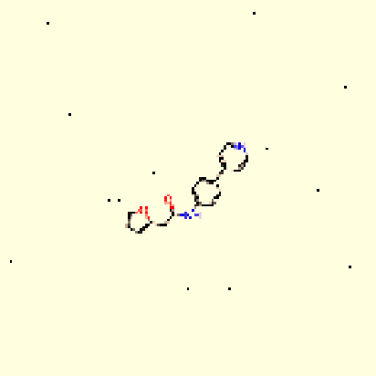 O=C(Cc1ccco1)Nc1ccc(-c2ccncc2)cc1